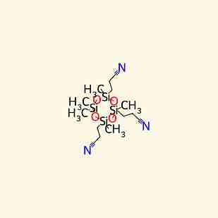 C[Si]1(C)O[Si](C)(CCC#N)O[Si](C)(CCC#N)O[Si](C)(CCC#N)O1